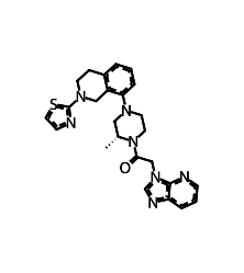 C[C@@H]1CN(c2cccc3c2CN(c2nccs2)CC3)CCN1C(=O)Cn1cnc2cccnc21